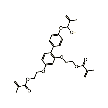 C=C(C)C(=O)OCCOc1ccc(-c2ccc(OC(O)C(=C)C)cc2)c(OCCOC(=O)C(=C)C)c1